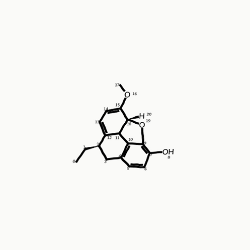 CC[C@@H]1Cc2ccc(O)c3c2C2C1=CC=C(OC)[C@@H]2O3